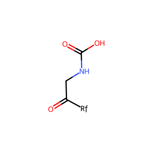 O=[C]([Rf])CNC(=O)O